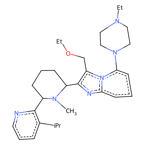 CCOCc1c(C2CCCC(c3ncccc3C(C)C)N2C)nc2cccc(N3CCN(CC)CC3)n12